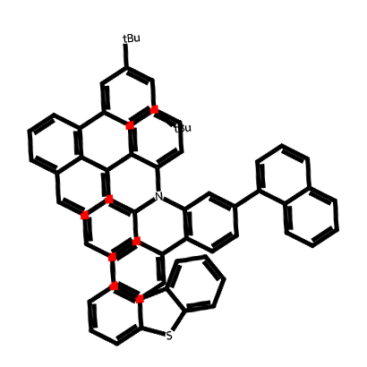 CC(C)(C)c1cc(-c2cccc3cccc(-c4ccccc4N(c4cccc(-c5cccc6sc7ccccc7c56)c4)c4cc(-c5cccc6ccccc56)ccc4-c4ccccc4)c23)cc(C(C)(C)C)c1